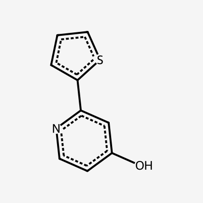 Oc1ccnc(-c2cccs2)c1